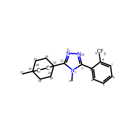 Cn1c(-c2ccccc2C(F)(F)F)nnc1C12CCC(C)(CC1)CC2